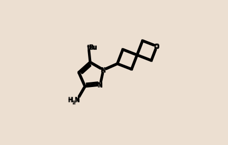 CC(C)(C)c1cc(N)nn1C1CC2(COC2)C1